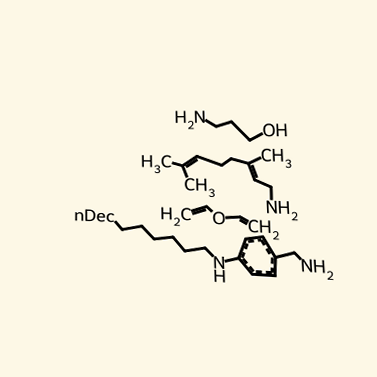 C=COC=C.CC(C)=CCCC(C)=CCN.CCCCCCCCCCCCCCCCNc1ccc(CN)cc1.NCCCO